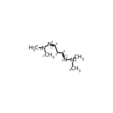 CN(C)/N=C\C/C=N/N(C)C